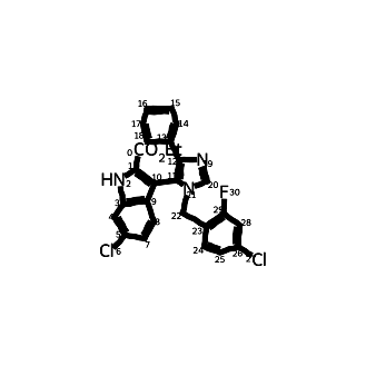 CCOC(=O)c1[nH]c2cc(Cl)ccc2c1-c1c(-c2ccccc2)ncn1Cc1ccc(Cl)cc1F